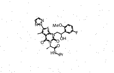 COc1ccc(F)cc1[C@@H](O)Cn1c(=O)n([C@H](C)C(=O)NC(C)C)c(=O)c2c(C)c(-n3nccn3)sc21